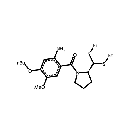 CCCCOc1cc(N)c(C(=O)N2CCC[C@@H]2C(SCC)SCC)cc1OC